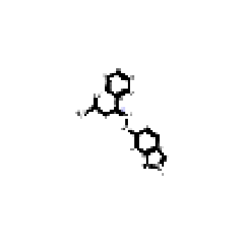 NC(=O)C/C(=N\Oc1ccc2cn[nH]c2c1)c1ccccc1